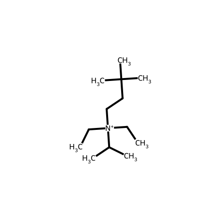 CC[N+](CC)(CCC(C)(C)C)C(C)C